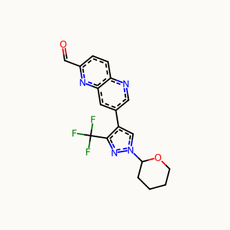 O=Cc1ccc2ncc(-c3cn(C4CCCCO4)nc3C(F)(F)F)cc2n1